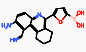 N=Cc1c(N)ccc2nc(-c3ccc(B(O)O)o3)c3c(c12)CCCC3